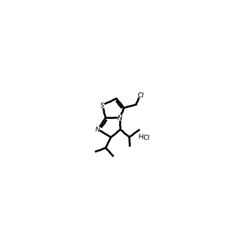 CC(C)C1N=C2SC=C(CCl)N2C1C(C)C.Cl